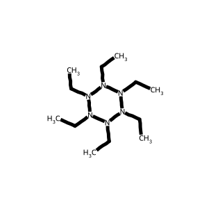 CCN1N(CC)N(CC)N(CC)N(CC)N1CC